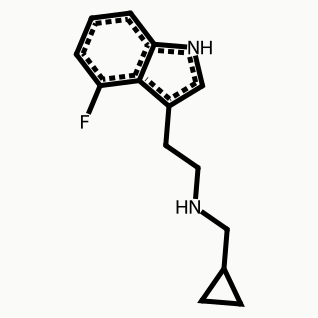 Fc1cccc2[nH]cc(CCNCC3CC3)c12